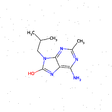 Cc1nc(N)c2nc(O)n(CC(C)C)c2n1